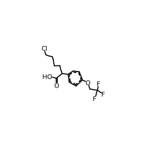 O=C(O)C(CCCCCl)c1ccc(OCC(F)(F)F)cc1